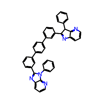 c1ccc(C2C(c3cccc(-c4ccc(-c5cccc(-c6nc7cccnc7n6-c6ccccc6)c5)cc4)c3)=Nc3cccnc32)cc1